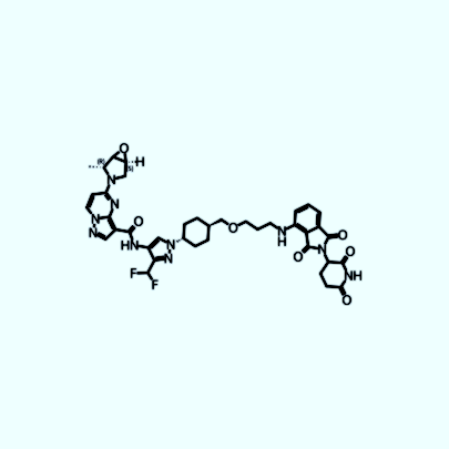 C[C@@H]1C2O[C@H]2CN1c1ccn2ncc(C(=O)Nc3cn([C@H]4CC[C@H](COCCCNc5cccc6c5C(=O)N(C5CCC(=O)NC5=O)C6=O)CC4)nc3C(F)F)c2n1